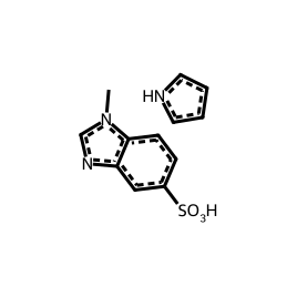 Cn1cnc2cc(S(=O)(=O)O)ccc21.c1cc[nH]c1